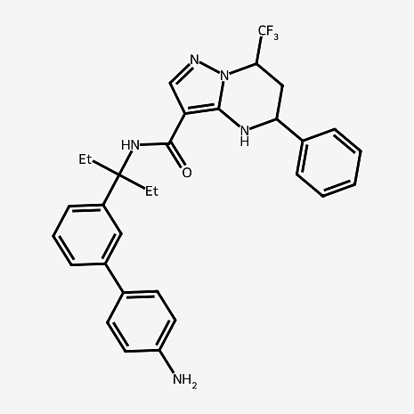 CCC(CC)(NC(=O)c1cnn2c1NC(c1ccccc1)CC2C(F)(F)F)c1cccc(-c2ccc(N)cc2)c1